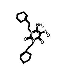 Nc1c(N=O)c(=O)n(CCC2=CCCCC2)c(=O)n1CCC1=CCCCC1